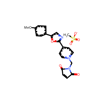 COc1ccc(-c2cnc(-c3cc[n+](CN4C(=O)C=CC4=O)cc3)o2)cc1.CS(=O)(=O)[O-]